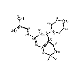 CC1(C)Cc2cc(SCC(=O)O)nc(N3CCOCC3)c2CO1